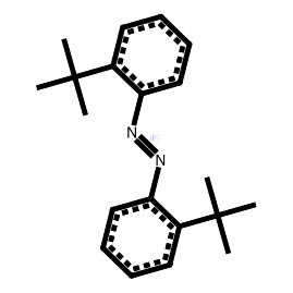 CC(C)(C)c1ccccc1/N=N/c1ccccc1C(C)(C)C